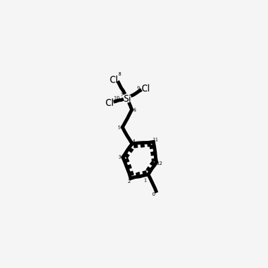 Cc1ccc(CC[Si](Cl)(Cl)Cl)cc1